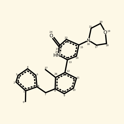 Cc1ccccc1Cc1cccc(-c2cc(N3CCOCC3)cc(=O)[nH]2)c1C